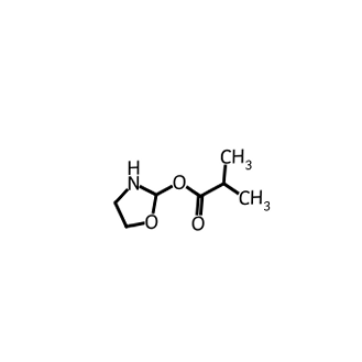 CC(C)C(=O)OC1NCCO1